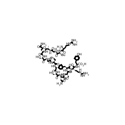 CC[C@H](C)[C@H](NC(=O)[C@@H](N)CCCNC(=N)N)C(=O)NCC(=O)N[C@@H](C)C(=O)N[C@@H](CCC(N)=O)C(=O)N[C@@H](CO)C(=O)NCC(=O)N[C@@H](CC(C)C)C(=O)NCC(=O)N[C@@H](CS)C(=O)N[C@@H](CC(N)=O)C(=O)N[C@@H](CO)C(=O)N[C@@H](Cc1ccccc1)C(=O)N[C@@H](CCCNC(=N)N)C(=O)N[C@@H](Cc1ccc(O)cc1)C(=O)O